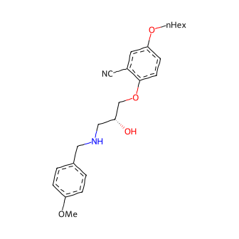 CCCCCCOc1ccc(OC[C@H](O)CNCc2ccc(OC)cc2)c(C#N)c1